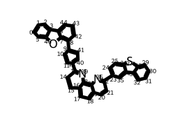 c1ccc2c(c1)oc1c(-c3ccc(-c4ccc5ccc6ccc(-c7ccc8sc9ccccc9c8c7)nc6c5n4)cc3)cccc12